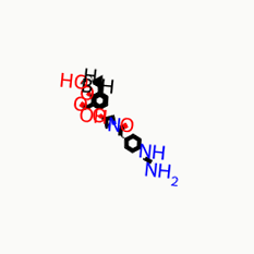 NCCN[C@H]1CC[C@H](CC(=O)N2CC(Oc3ccc4c(c3C(=O)O)OB(O)[C@H]3C[C@@H]43)C2)CC1